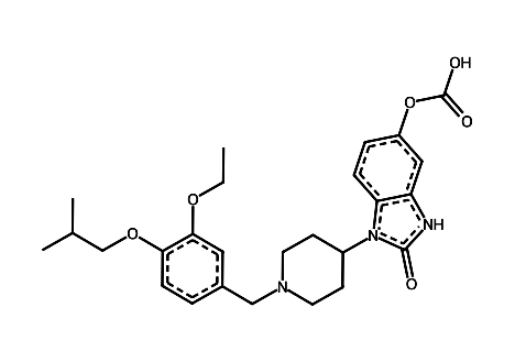 CCOc1cc(CN2CCC(n3c(=O)[nH]c4cc(OC(=O)O)ccc43)CC2)ccc1OCC(C)C